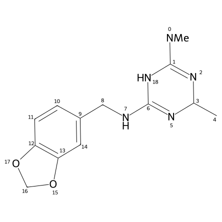 CNC1=NC(C)N=C(NCc2ccc3c(c2)OCO3)N1